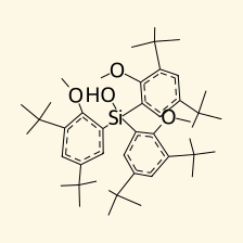 COc1c(C(C)(C)C)cc(C(C)(C)C)cc1[Si](O)(c1cc(C(C)(C)C)cc(C(C)(C)C)c1OC)c1cc(C(C)(C)C)cc(C(C)(C)C)c1OC